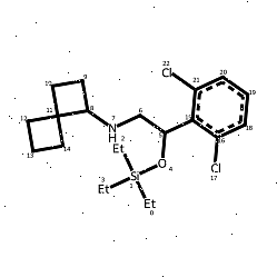 CC[Si](CC)(CC)OC(CNC1CCC12CCC2)c1c(Cl)cccc1Cl